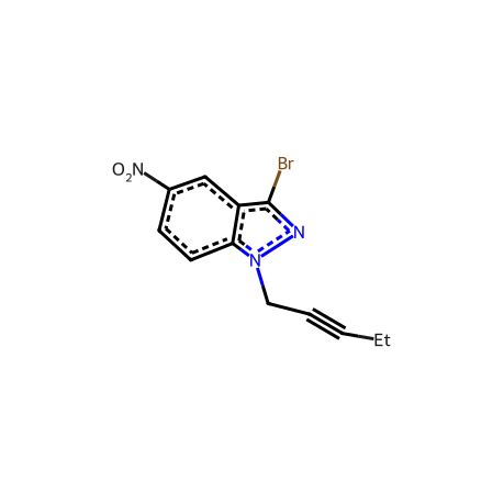 CCC#CCn1nc(Br)c2cc([N+](=O)[O-])ccc21